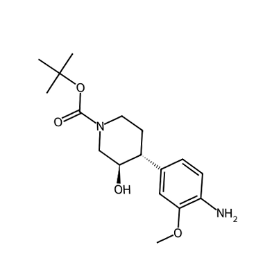 COc1cc([C@H]2CCN(C(=O)OC(C)(C)C)C[C@@H]2O)ccc1N